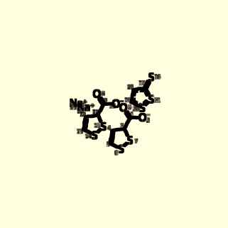 O=C([O-])C1C=CSS1.O=C([O-])C1C=CSS1.S=c1ccss1.[Na+].[Na+]